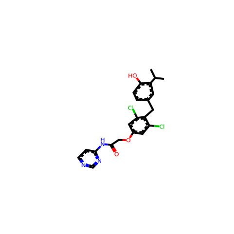 CC(C)c1cc(Cc2c(Cl)cc(OCC(=O)Nc3ccncn3)cc2Cl)ccc1O